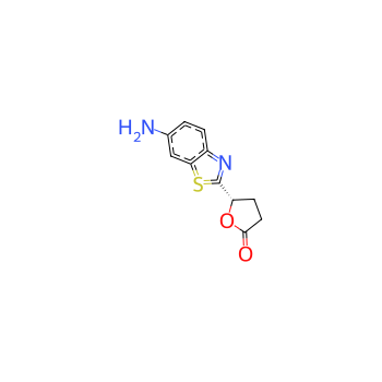 Nc1ccc2nc([C@@H]3CCC(=O)O3)sc2c1